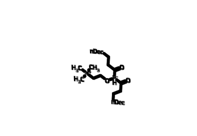 CCCCCCCCCCCCC(=O)[PH-](OCC[N+](C)(C)C)C(=O)CCCCCCCCCCCC